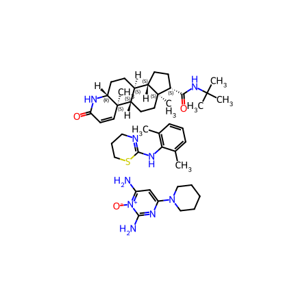 CC(C)(C)NC(=O)[C@H]1CC[C@H]2[C@@H]3CC[C@H]4NC(=O)C=C[C@]4(C)[C@H]3CC[C@]12C.Cc1cccc(C)c1NC1=NCCCS1.Nc1cc(N2CCCCC2)nc(N)[n+]1[O-]